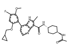 COc1cc(-c2ccnc3c(C(=O)N[C@H]4CC[C@H](NC(C)=O)CC4)c(C)[nH]c23)c(OCC2CC2)cc1F